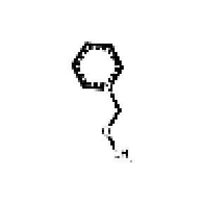 COC[n+]1ccccc1